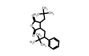 CC(C)(C)CC1C(=O)OC(=O)C1CC(c1ccccc1)C(C)(C)C